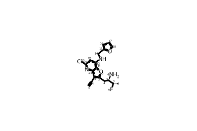 C#Cc1c(C[C@@H](N)[C@H](C)F)oc2c(NCc3ccco3)cc(Cl)nc12